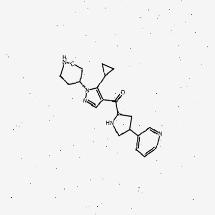 O=C(c1cnn(C2CCNCC2)c1C1CC1)C1CC(c2cccnc2)CN1